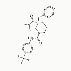 CN(C)C(=O)C1(Cc2ccccc2)CCCN(C(=O)Nc2ccc(C(F)(F)F)cc2)C1